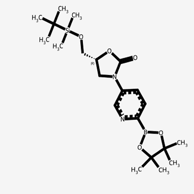 CC1(C)OB(c2ccc(N3C[C@H](CO[Si](C)(C)C(C)(C)C)OC3=O)cn2)OC1(C)C